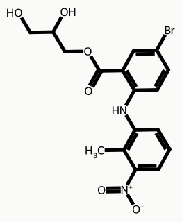 Cc1c(Nc2ccc(Br)cc2C(=O)OCC(O)CO)cccc1[N+](=O)[O-]